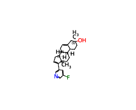 C[C@]1(O)CCC2C(=CC[C@@H]3[C@@H]2CC[C@]2(C)C(c4cncc(F)c4)=CC[C@@H]32)C1